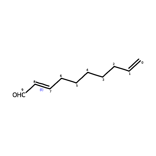 C=CCCCCC/C=C/C=O